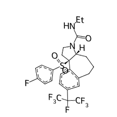 CCNC(=O)N1CC[C@@]2(S(=O)(=O)c3ccc(F)cc3)c3ccc(C(F)(C(F)(F)F)C(F)(F)F)cc3CCC[C@@H]12